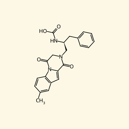 Cc1ccc2c(c1)cc1n2C(=O)CN(C[C@H](Cc2ccccc2)NC(=O)O)C1=O